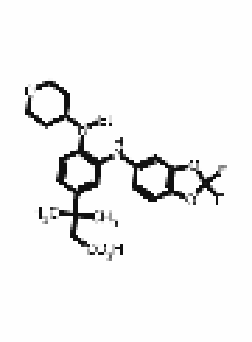 CCN(c1ccc(C(C)(C)CC(=O)O)cc1Nc1ccc2c(c1)OC(F)(F)O2)C1CCOCC1